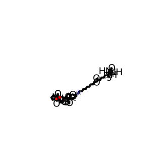 CC1(C/C=C/CCCCCCCCOC(=O)CCCC[C@@H]2SC[C@@H]3NC(=O)N[C@@H]32)C=Cc2c(ccc(C3=C[C@@]45NC(=O)C6(CCCN6C4=O)CC5C(C)(C)C3=O)c2[N+](=O)[O-])O1